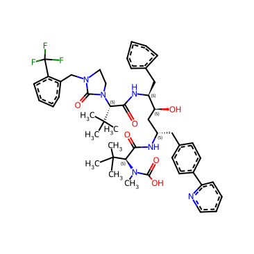 CN(C(=O)O)[C@H](C(=O)N[C@@H](Cc1ccc(-c2ccccn2)cc1)C[C@H](O)[C@H](Cc1ccccc1)NC(=O)[C@@H](N1CCN(Cc2ccccc2C(F)(F)F)C1=O)C(C)(C)C)C(C)(C)C